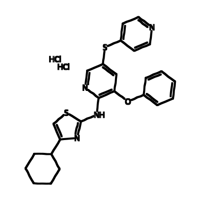 Cl.Cl.c1ccc(Oc2cc(Sc3ccncc3)cnc2Nc2nc(C3CCCCC3)cs2)cc1